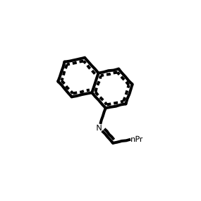 CCC/C=N\c1cccc2ccccc12